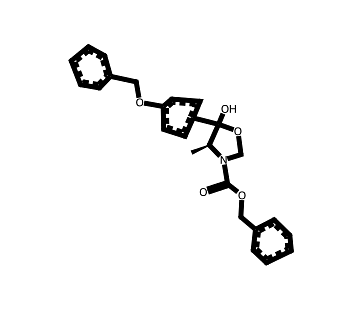 C[C@@H]1N(C(=O)OCc2ccccc2)COC1(O)c1ccc(OCc2ccccc2)cc1